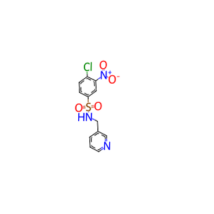 O=[N+]([O-])c1cc(S(=O)(=O)NCc2cccnc2)ccc1Cl